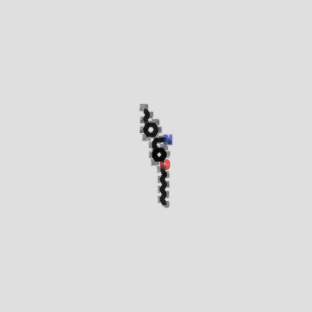 CCCCCCCCOc1ccc(CC(C#N)[C@H]2CC[C@H](CCC)CC2)cc1